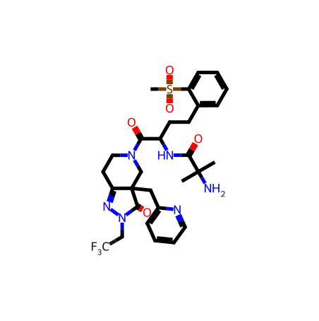 CC(C)(N)C(=O)NC(CCc1ccccc1S(C)(=O)=O)C(=O)N1CCC2=NN(CC(F)(F)F)C(=O)C2(Cc2ccccn2)C1